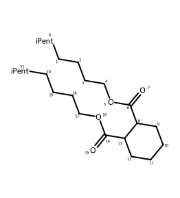 CCCC(C)CCCCOC(=O)C1CCCCC1C(=O)OCCCCC(C)CCC